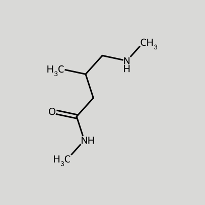 CNCC(C)CC(=O)NC